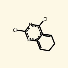 Clc1nc(Cl)c2c(n1)=CCCC=2